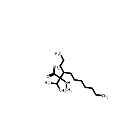 CCCCCCCC(CCC)C(NC)(C(N)=O)C(C)C